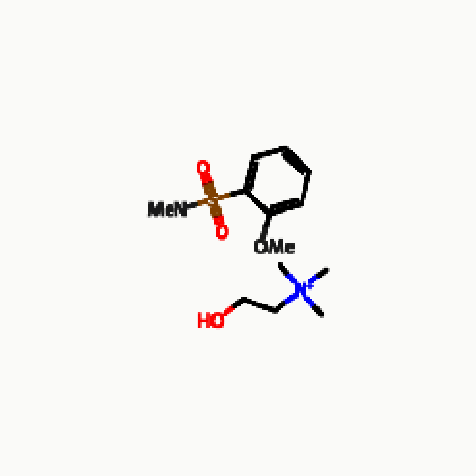 CNS(=O)(=O)c1ccccc1OC.C[N+](C)(C)CCO